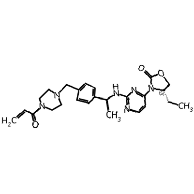 C=CC(=O)N1CCN(Cc2ccc(C(C)Nc3nccc(N4C(=O)OC[C@@H]4CC)n3)cc2)CC1